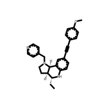 CC[C@H]1Nc2ccc(C#Cc3ccc(OC)cc3)cc2[C@H]2[C@@H]1CCN2Cc1ccncc1